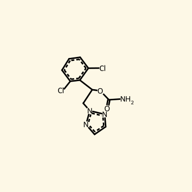 NC(=O)OC(Cn1nccn1)c1c(Cl)cccc1Cl